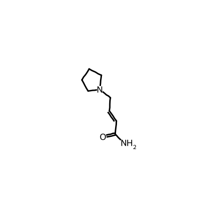 NC(=O)C=CCN1CCCC1